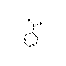 FN(F)c1ccccc1